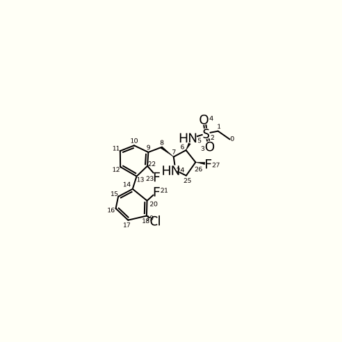 CCS(=O)(=O)N[C@@H]1[C@H](Cc2cccc(-c3cccc(Cl)c3F)c2F)NC[C@@H]1F